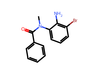 CN(C(=O)c1ccccc1)c1cccc(Br)c1N